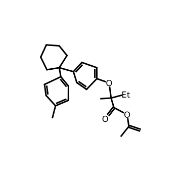 C=C(C)OC(=O)C(C)(CC)Oc1ccc(C2(c3ccc(C)cc3)CCCCC2)cc1